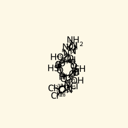 Nc1ncnc2c1ncn2[C@@H]1O[C@@H]2COP(=O)(S)OC3C(O)[C@H](n4c(Cl)nc5cc(Cl)c(Cl)cc54)O[C@@H]3COP(=O)(S)OC2C1O